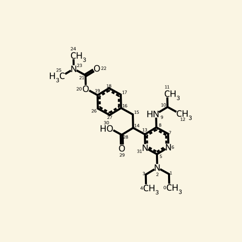 CCN(CC)c1ncc(NC(C)C)c(C(Cc2ccc(OC(=O)N(C)C)cc2)C(=O)O)n1